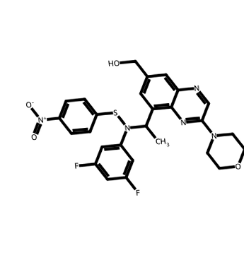 CC(c1cc(CO)cc2ncc(N3CCOCC3)nc12)N(Sc1ccc([N+](=O)[O-])cc1)c1cc(F)cc(F)c1